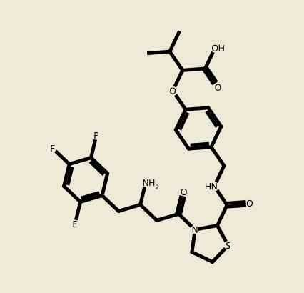 CC(C)C(Oc1ccc(CNC(=O)C2SCCN2C(=O)CC(N)Cc2cc(F)c(F)cc2F)cc1)C(=O)O